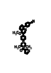 COc1c(-c2ccc(N3CC(C)N(C(=O)c4cccnc4)[C@H](C)C3)cc2)cnc2c(-c3ccc(C#N)cc3)cccc12